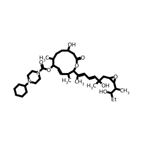 CCC(O)C(C)C1OC1CC(C)(O)/C=C/C=C(\C)C1OC(=O)CC(O)CCC(C)C(OC(=O)N2CCN(C3CCCCC3)CC2)/C=C/C1C